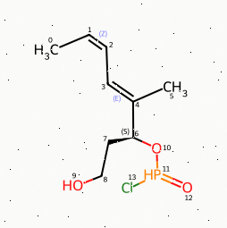 C/C=C\C=C(/C)[C@H](CCO)O[PH](=O)Cl